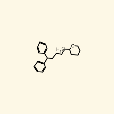 c1ccc(C(CCC[SiH2]C2CCCCO2)c2ccccc2)cc1